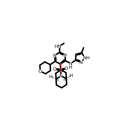 CCS(=O)(=O)N1[C@@H]2CCC[C@H]1C[C@H](c1c(Nc3cc(C)[nH]n3)nc(NC)nc1C1CCOCC1)C2